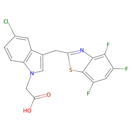 O=C(O)Cn1cc(Cc2nc3c(F)c(F)cc(F)c3s2)c2cc(Cl)ccc21